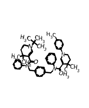 Cc1ccc(N2C=C(C(=O)N(Cc3ccc(CN(C(=O)C4=CN(C(C)(C)C)CCC4(C)C)c4ccccc4)cc3)c3ccccc3)C(C)(C)CC2)cc1